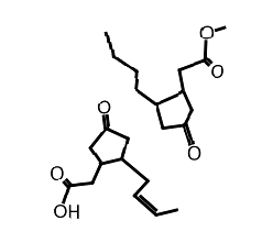 C/C=C\CC1CC(=O)CC1CC(=O)O.CCCCC1CC(=O)CC1CC(=O)OC